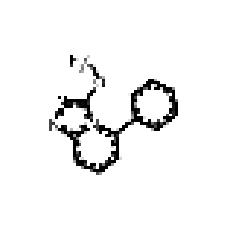 FC(F)(F)Oc1nnc2cccc(-c3ccccc3)n12